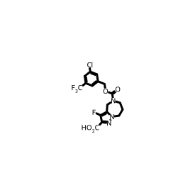 O=C(O)c1nn2c(c1F)CN(C(=O)OCc1cc(Cl)cc(C(F)(F)F)c1)CCC2